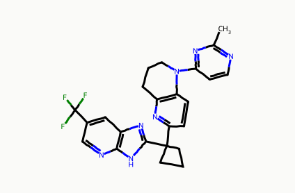 Cc1nccc(N2CCCc3nc(C4(c5nc6cc(C(F)(F)F)cnc6[nH]5)CCC4)ccc32)n1